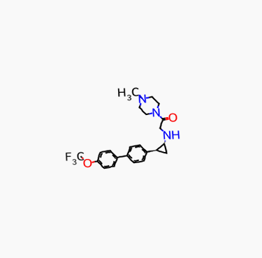 CN1CCN(C(=O)CN[C@@H]2C[C@H]2c2ccc(-c3ccc(OC(F)(F)F)cc3)cc2)CC1